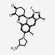 NC1CCN(c2cc3oc4c(n5c6c(cc(c2F)c3-5)C(F)=NS=6F)CCC(=O)C4=O)C1